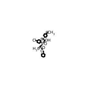 COc1ccc([C@H]2Sc3cc(Cl)ccc3N(CCN(C)C(=O)OCc3ccccc3)C(=O)[C@H]2O)cc1